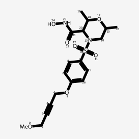 COCC#CCOc1ccc(S(=O)(=O)N2CC(C)OC(C)C2C(=O)NO)cc1